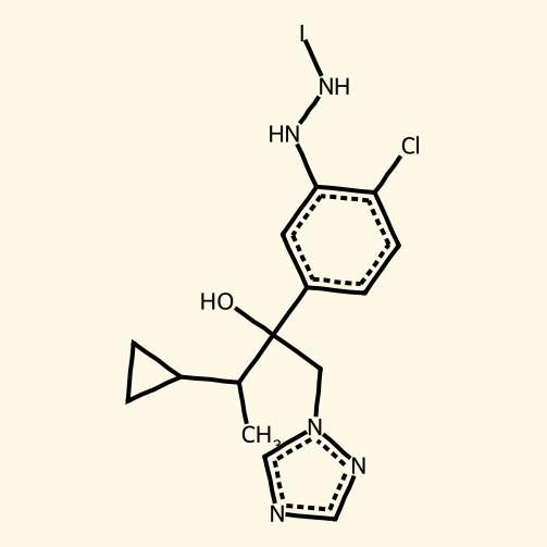 CC(C1CC1)C(O)(Cn1cncn1)c1ccc(Cl)c(NNI)c1